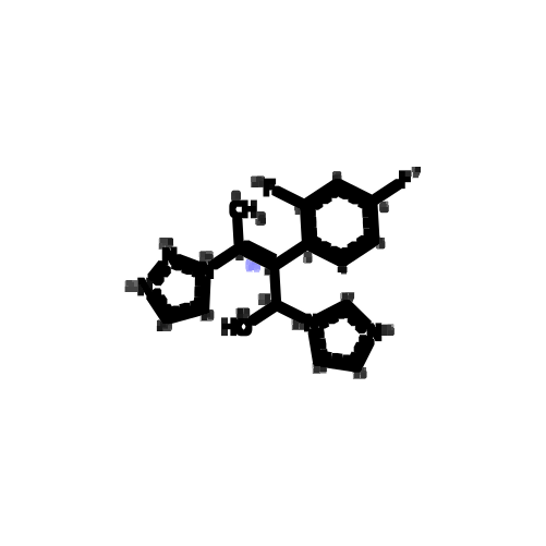 C/C(=C(\c1ccc(F)cc1F)C(O)n1ccnc1)n1ccnn1